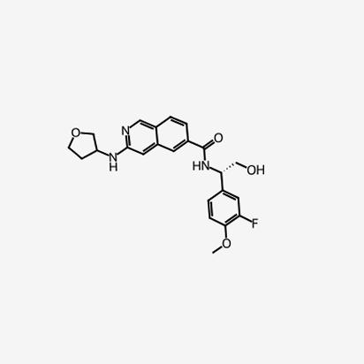 COc1ccc([C@@H](CO)NC(=O)c2ccc3cnc(NC4CCOC4)cc3c2)cc1F